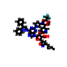 CCc1cc(C2OC(n3cnc4c(NCC(c5ccccc5)c5ccccc5)nc(N5CCC(N(OC(=O)C(F)(F)F)C(=O)c6cccnc6)C5)nc43)C(O)C2O)on1